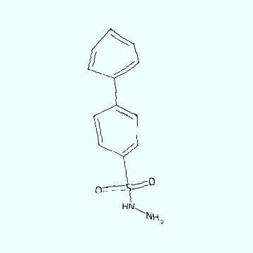 NNS(=O)(=O)c1ccc(-c2ccccc2)cc1